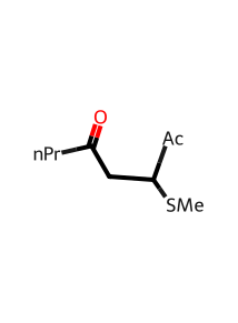 CCCC(=O)CC(SC)C(C)=O